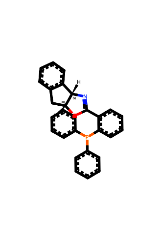 c1ccc(P(c2ccccc2)c2ccccc2C2=N[C@H]3c4ccccc4C[C@H]3O2)cc1